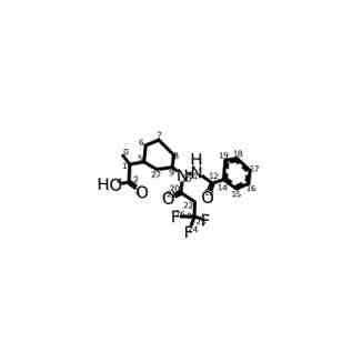 CC(C(=O)O)C1CCCC(N(NC(=O)c2ccccc2)C(=O)CC(F)(F)F)C1